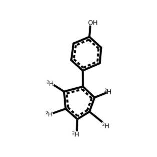 [2H]c1c([2H])c([2H])c(-c2ccc(O)cc2)c([2H])c1[2H]